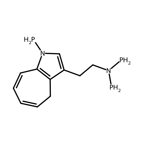 PN(P)CCc1cn(P)c2c1CC=CC=C2